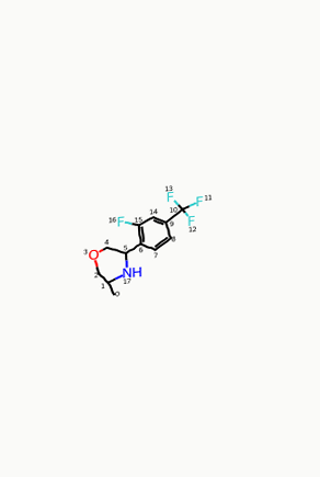 CC1COCC(c2ccc(C(F)(F)F)cc2F)N1